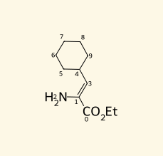 CCOC(=O)C(N)=CC1CCCCC1